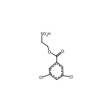 O=C(OCCS(=O)(=O)O)c1cc(Cl)cc(Cl)c1